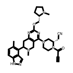 C#CC(=O)N1CCN(c2nc(OC[C@@H]3CCCN3C)nc3c2CN(C)C(c2c(C)ccc4[nH]ncc24)C3)C[C@@H]1CC#N